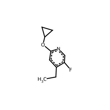 CCc1cc(OC2CC2)ncc1F